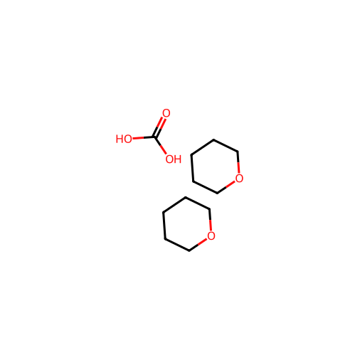 C1CCOCC1.C1CCOCC1.O=C(O)O